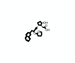 O=C(O)C[C@@H]1[C@H](O)CC[C@H]1C#CC(Cc1ccc2ccccc2c1)OC1CCCCO1